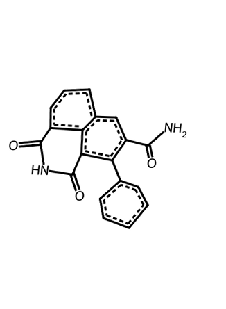 NC(=O)c1cc2cccc3c2c(c1-c1ccccc1)C(=O)NC3=O